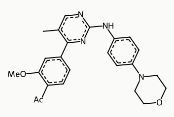 COc1cc(-c2nc(Nc3ccc(N4CCOCC4)cc3)ncc2C)ccc1C(C)=O